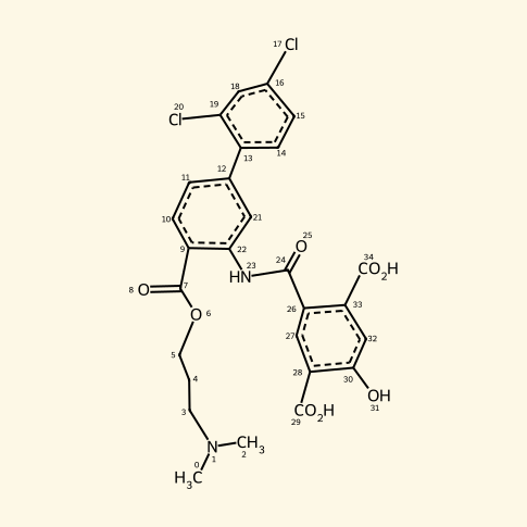 CN(C)CCCOC(=O)c1ccc(-c2ccc(Cl)cc2Cl)cc1NC(=O)c1cc(C(=O)O)c(O)cc1C(=O)O